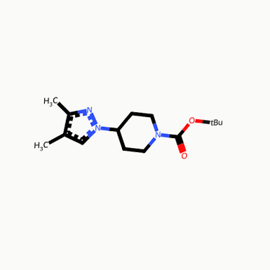 Cc1cn(C2CCN(C(=O)OC(C)(C)C)CC2)nc1C